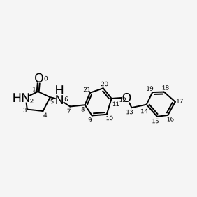 O=C1NCCC1NCc1ccc(OCc2ccccc2)cc1